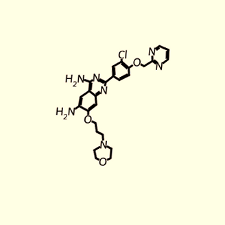 Nc1cc2c(N)nc(-c3ccc(OCc4ncccn4)c(Cl)c3)nc2cc1OCCCN1CCOCC1